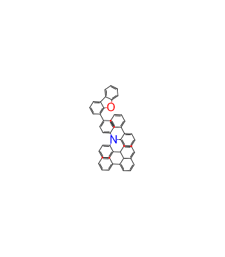 C1=CC2=CC=CC(c3ccccc3N(c3ccc(-c4cccc5c4oc4ccccc45)cc3)c3ccccc3-c3ccccc3)C2C(c2ccccc2)=C1